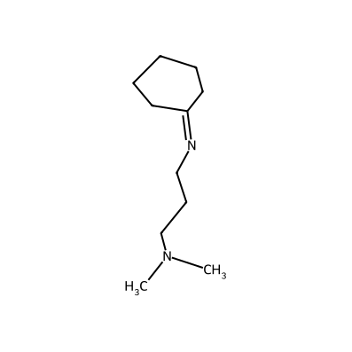 CN(C)CCCN=C1CCCCC1